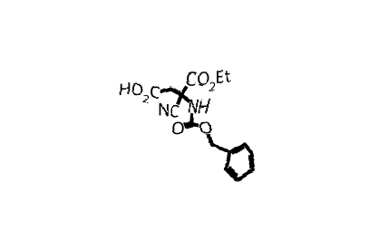 CCOC(=O)C(C#N)(CC(=O)O)NC(=O)OCc1ccccc1